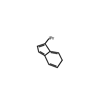 CC(C)C1=CC=C2C=CCC=C21